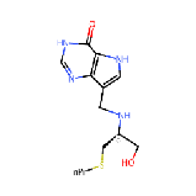 CCCSC[C@H](CO)NCc1c[nH]c2c(=O)[nH]cnc12